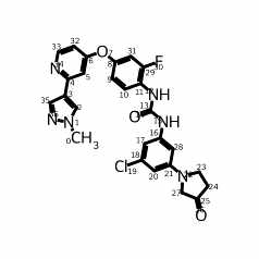 Cn1cc(-c2cc(Oc3ccc(NC(=O)Nc4cc(Cl)cc(N5CCC(=O)C5)c4)c(F)c3)ccn2)cn1